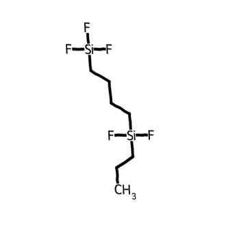 CCC[Si](F)(F)CCCC[Si](F)(F)F